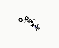 C/C(=C\C1C(C(=O)NCc2cccc(Oc3ccccc3)c2)C1(C)C)C(F)(F)F